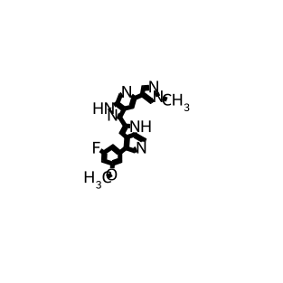 COc1cc(F)cc(-c2cncc3[nH]c(-c4n[nH]c5cnc(-c6cnn(C)c6)cc45)cc23)c1